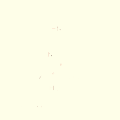 CCCNCCN1C[C@H](c2ccc3c(c2)OCO3)[C@@H](C(=O)O)[C@]1(CC)c1ccc(OC)c(F)c1